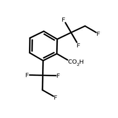 O=C(O)c1c(C(F)(F)CF)cccc1C(F)(F)CF